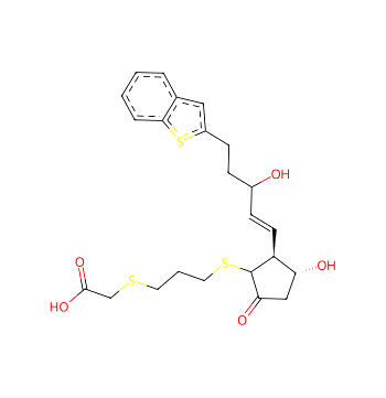 O=C(O)CSCCCSC1C(=O)C[C@@H](O)[C@@H]1C=CC(O)CCc1cc2ccccc2s1